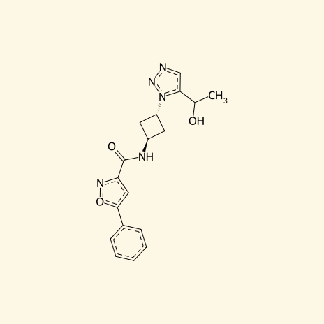 CC(O)c1cnnn1[C@H]1C[C@H](NC(=O)c2cc(-c3ccccc3)on2)C1